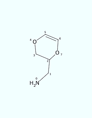 NCC1COC=CO1